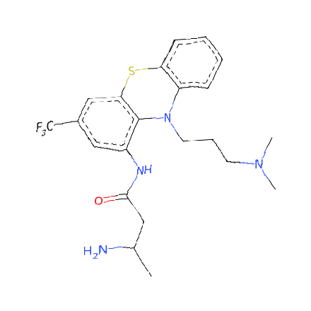 CC(N)CC(=O)Nc1cc(C(F)(F)F)cc2c1N(CCCN(C)C)c1ccccc1S2